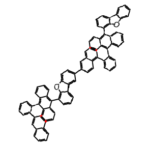 c1ccc(-c2c3ccccc3c(-c3cccc4c3oc3ccc(-c5ccc6c(-c7ccccc7-c7c8ccccc8c(-c8cccc9c8oc8ccccc89)c8ccccc78)cccc6c5)cc34)c3ccccc23)c(-c2ccc3ccccc3c2)c1